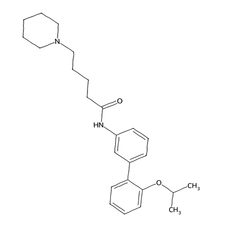 CC(C)Oc1ccccc1-c1cccc(NC(=O)CCCCN2CCCCC2)c1